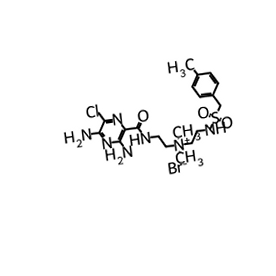 Cc1ccc(CS(=O)(=O)NCC[N+](C)(C)CCNC(=O)c2nc(Cl)c(N)nc2N)cc1.[Br-]